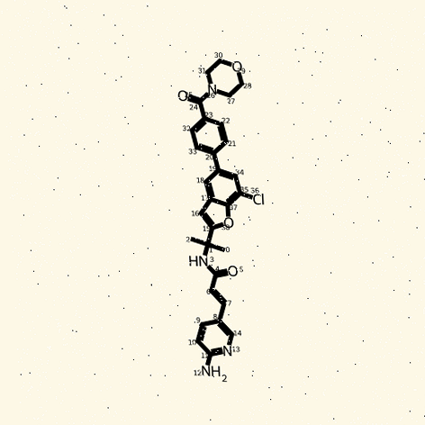 CC(C)(NC(=O)C=Cc1ccc(N)nc1)c1cc2cc(-c3ccc(C(=O)N4CCOCC4)cc3)cc(Cl)c2o1